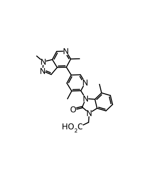 Cc1cc(-c2c(C)ncc3c2cnn3C)cnc1-n1c(=O)n(CC(=O)O)c2cccc(C)c21